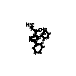 C=CC(C)c1nnn(C2CCCCC2)c1C1CCCCC1